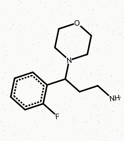 [NH]CCC(c1ccccc1F)N1CCOCC1